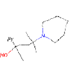 CC(C)C(C)(O)C(C)(C)N1CCCCC1